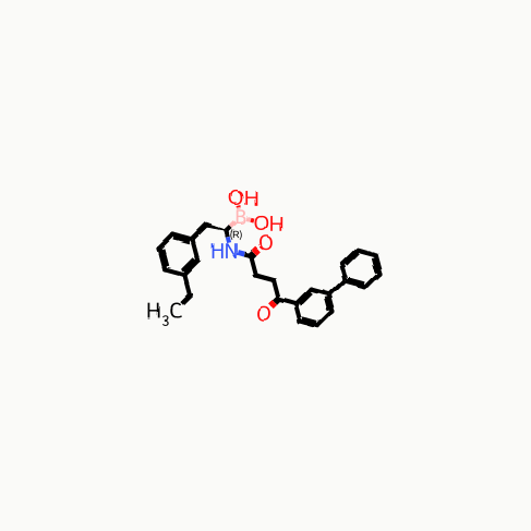 CCc1cccc(C[C@H](NC(=O)CCC(=O)c2cccc(-c3ccccc3)c2)B(O)O)c1